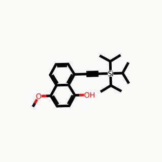 COc1ccc(O)c2c(C#C[Si](C(C)C)(C(C)C)C(C)C)cccc12